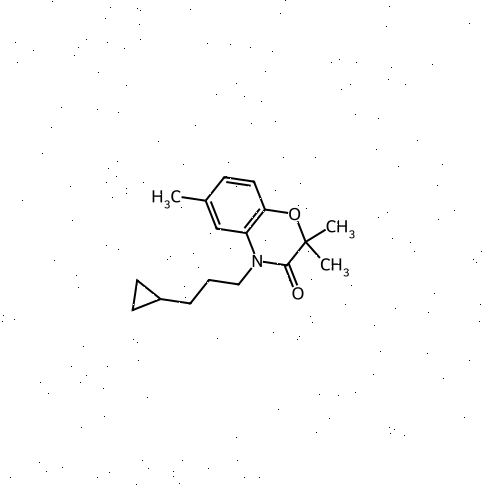 Cc1ccc2c(c1)N(CCCC1CC1)C(=O)C(C)(C)O2